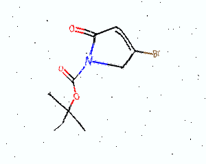 CC(C)(C)OC(=O)N1CC(Br)=CC1=O